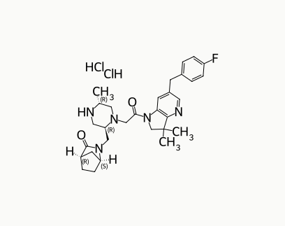 C[C@@H]1CN(CC(=O)N2CC(C)(C)c3ncc(Cc4ccc(F)cc4)cc32)[C@@H](CN2C(=O)[C@@H]3CC[C@H]2C3)CN1.Cl.Cl